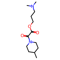 CC1CCN(C(=O)C(=O)OCCCN(C)C)CC1